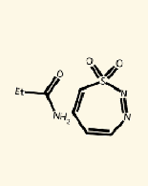 CCC(N)=O.O=S1(=O)C=CC=CN=N1